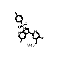 CSCc1nc(-c2cn(S(=O)(=O)c3ccc(C)cc3)c3ncc(F)cc23)ncc1F